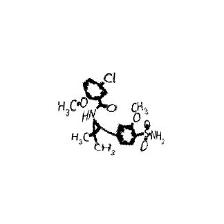 COc1ccc(Cl)cc1C(=O)N[C@@H]1[C@@H](c2ccc(S(N)(=O)=O)c(OC)c2)C1(C)C